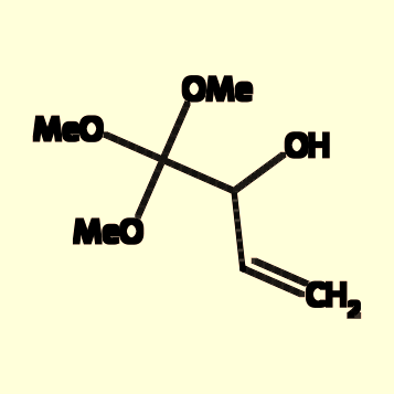 C=CC(O)C(OC)(OC)OC